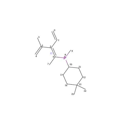 C=C/C(C(=C)C)=C(/C)P(C)C1CCC(C)(C)CC1